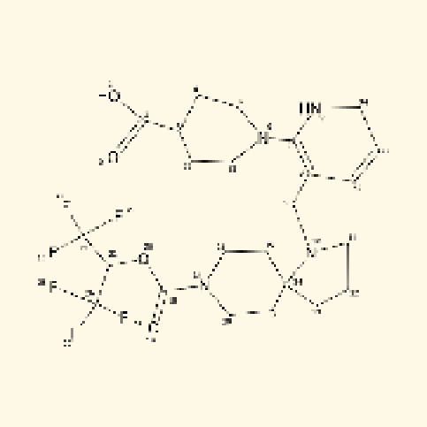 O=C(O)C1CCN(C2=C(CN3CCCC34CCN(C(=O)OC(C(F)(F)F)C(F)(F)F)CC4)C=CCN2)CC1